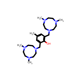 Cc1cc(CN2CCN(C)CCN(C)CC2)c(O)c(CN2CCN(C)CCN(C)CC2)c1